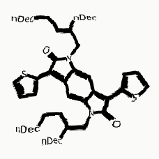 CCCCCCCCCCCCC(CCCCCCCCCC)CN1C(=O)C(c2cccs2)=c2cc3c(cc21)=C(c1cccs1)C(=O)N3CC(CCCCCCCCCC)CCCCCCCCCCCC